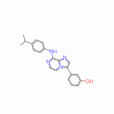 CC(C)c1ccc(Nc2nccn3c(-c4cccc(O)c4)cnc23)cc1